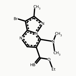 B=C(OCC)c1cnc2c(Br)c(C)nn2c1N(C)C